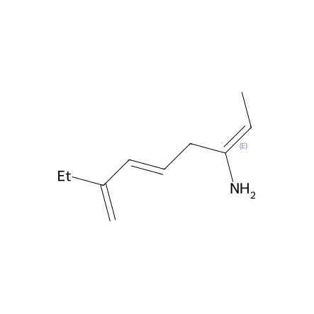 C=C(C=CC/C(N)=C\C)CC